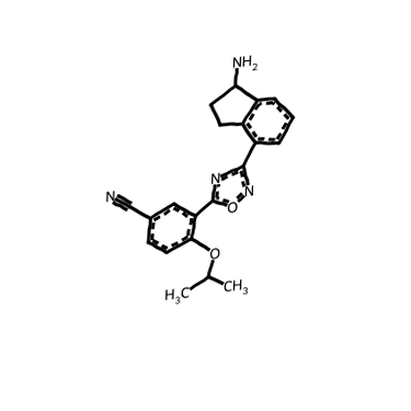 CC(C)Oc1ccc(C#N)cc1-c1nc(-c2cccc3c2CCC3N)no1